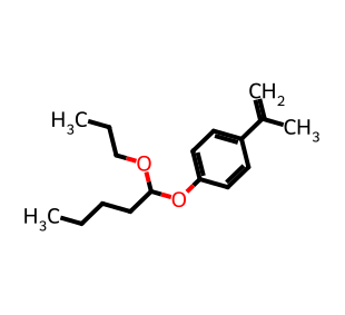 C=C(C)c1ccc(OC(CCCC)OCCC)cc1